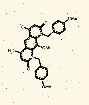 COc1ccc(Cn2c(=O)cc(C)c3cc4c(C)cc(=O)n(Cc5ccc(OC)cc5)c4c(OC)c32)cc1